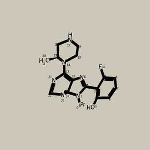 CC(C)n1c(-c2c(O)cccc2F)nc2c(N3CCNC[C@@H]3C)ncnc21